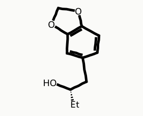 CC[C@H](O)Cc1ccc2c(c1)OCO2